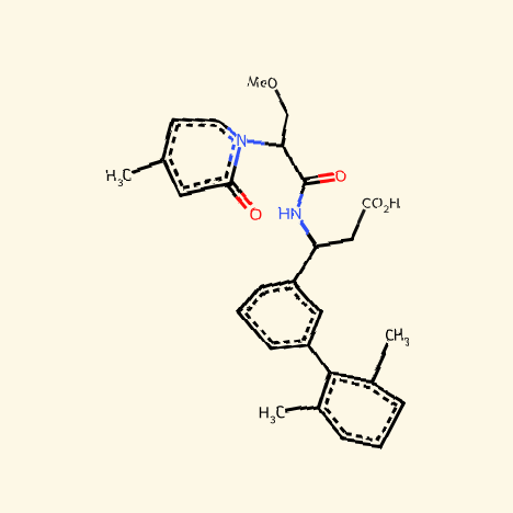 COCC(C(=O)NC(CC(=O)O)c1cccc(-c2c(C)cccc2C)c1)n1ccc(C)cc1=O